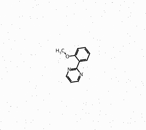 COc1ccccc1-c1ncccn1